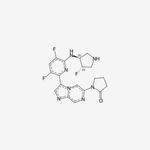 O=C1CCCN1c1cn2c(-c3nc(N[C@H]4CNC[C@@H]4F)c(F)cc3F)cnc2cn1